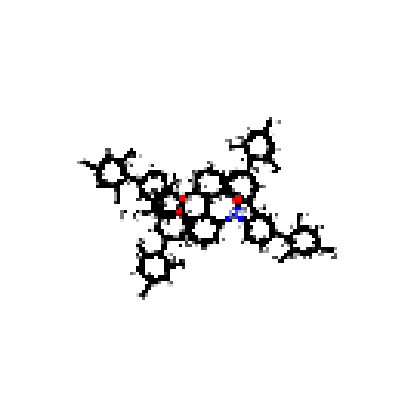 Cc1cc(C)c(-c2ccc3c(c2)-c2cc(-c4c(C)cc(C)cc4C)ccc2C3c2cccc(C#N)c2-c2c(-c3cc(C(F)(F)F)cc(C(F)(F)F)c3)cccc2-n2c3ccc(-c4c(C)cc(C)cc4C)cc3c3cc(-c4c(C)cc(C)cc4C)ccc32)c(C)c1